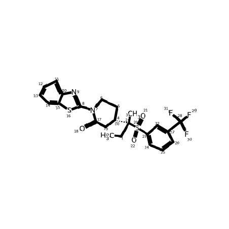 CCC(C)([C@H]1CCN(c2nc3ccccc3s2)C(=O)C1)S(=O)(=O)c1cccc(C(F)(F)F)c1